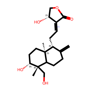 C=C1CCC2[C@](C)(CO)[C@H](O)CC[C@@]2(C)[C@@H]1C/C=C1/C(=O)OC[C@H]1O